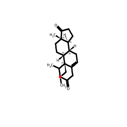 COC[C@]12C(=CC[C@@H]3[C@H]1CC[C@]1(C)C(=O)CC[C@@H]31)CC(=O)CC2C